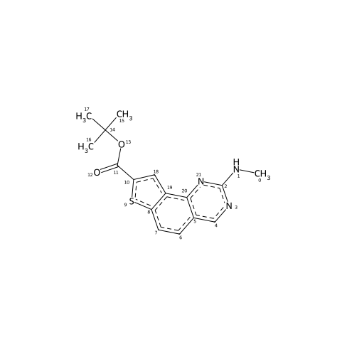 CNc1ncc2ccc3sc(C(=O)OC(C)(C)C)cc3c2n1